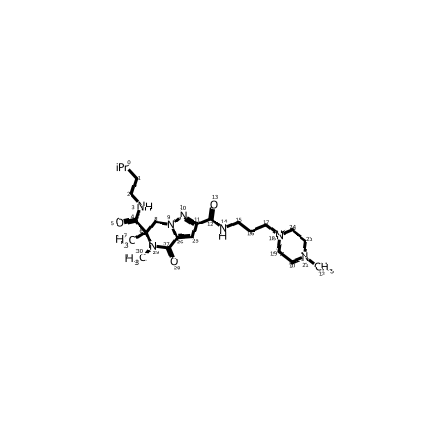 CC(C)CCNC(=O)C1(C)Cn2nc(C(=O)NCCCN3CCN(C)CC3)cc2C(=O)N1C